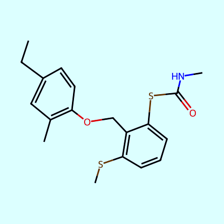 CCc1ccc(OCc2c(SC)cccc2SC(=O)NC)c(C)c1